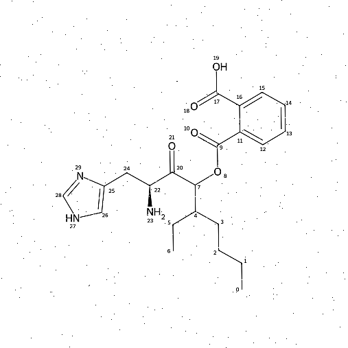 CCCCC(CC)C(OC(=O)c1ccccc1C(=O)O)C(=O)[C@@H](N)Cc1c[nH]cn1